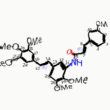 COc1cccc(/C=C/C(=O)Nc2cc(/C=C/c3cc(OC)c(OC)c(OC)c3)cc(OC)c2OC)c1